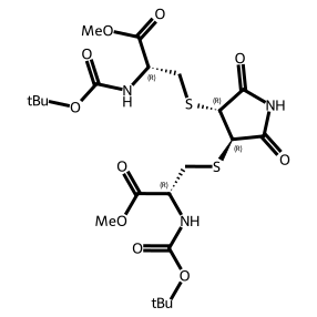 COC(=O)[C@H](CS[C@@H]1C(=O)NC(=O)[C@H]1SC[C@H](NC(=O)OC(C)(C)C)C(=O)OC)NC(=O)OC(C)(C)C